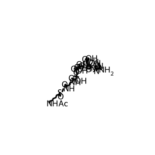 CC(=O)NCCCCCC(=O)SCCNC(=O)CCNC(=O)[C@H](O)C(C)(C)COP(=O)(O)OP(=O)(O)OC[C@H]1O[C@@H](n2cnc3c(N)ncnc32)[C@H](O)[C@@H]1OP(=O)(O)O